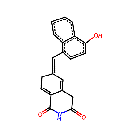 O=C1CC2=CC(=Cc3ccc(O)c4ccccc34)CC=C2C(=O)N1